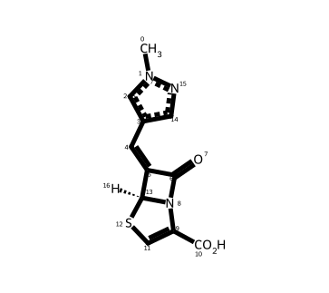 Cn1cc(/C=C2\C(=O)N3C(C(=O)O)=CS[C@@H]23)cn1